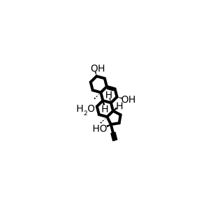 C#C[C@@]1(O)CC[C@H]2[C@@H]3[C@@H](O)C=C4C[C@@H](O)CC[C@]4(C)[C@H]3CC[C@@]21C.O